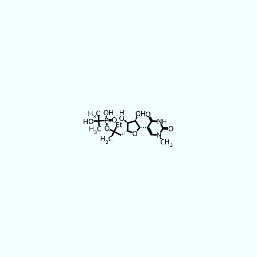 CCC(C)(C[C@H]1O[C@@H](c2cn(C)c(=O)[nH]c2=O)[C@H](O)[C@@H]1O)OP(=O)(O)C(C)(C)O